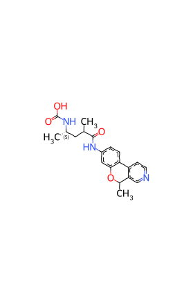 CC(C[C@H](C)NC(=O)O)C(=O)Nc1ccc2c(c1)OC(C)c1cnccc1-2